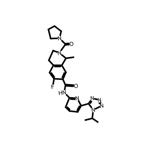 CC1c2cc(C(=O)Nc3cccc(-c4nnnn4C(C)C)n3)c(F)cc2CCN1C(=O)N1CCCC1